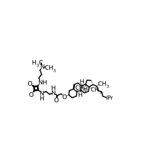 CC(C)CCC[C@@H](C)[C@H]1CC[C@H]2[C@@H]3CC=C4C[C@@H](OCC(=O)NCCNc5c(NCCCN(C)C)c(=O)c5=O)CC[C@]4(C)[C@H]3CC[C@]12C